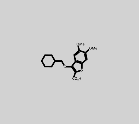 COc1cc2sc(C(=O)O)c(OCC3CCCCC3)c2cc1OC